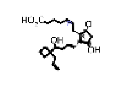 C=CCC1(C(O)CC=C[C@@H]2[C@@H](C/C=C\CCCC(=O)O)[C@H](Cl)C[C@H]2O)CCC1